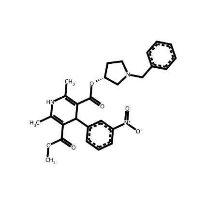 COC(=O)C1=C(C)NC(C)=C(C(=O)O[C@@H]2CCN(Cc3ccccc3)C2)C1c1cccc([N+](=O)[O-])c1